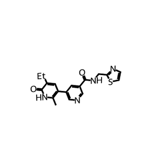 CCc1cc(-c2cncc(C(=O)NCc3nccs3)c2)c(C)[nH]c1=O